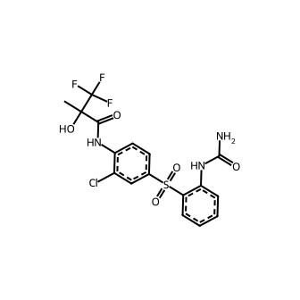 CC(O)(C(=O)Nc1ccc(S(=O)(=O)c2ccccc2NC(N)=O)cc1Cl)C(F)(F)F